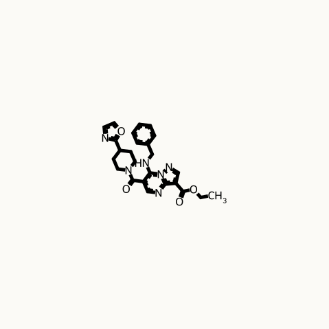 CCOC(=O)c1cnn2c(NCc3ccccc3)c(C(=O)N3CCC(c4ncco4)CC3)cnc12